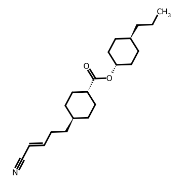 CCC[C@H]1CC[C@H](OC(=O)[C@H]2CC[C@H](CCC=CC#N)CC2)CC1